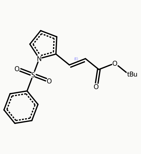 CC(C)(C)OC(=O)/C=C/c1cccn1S(=O)(=O)c1ccccc1